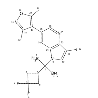 BC(B)(C1CC(F)(F)C1)n1cc(I)c2ncc(-c3c(C)noc3C)cc21